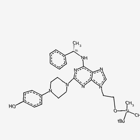 C[C@H](Nc1nc(N2CCN(c3ccc(O)cc3)CC2)nc2c1ncn2CCO[Si](C)(C)C(C)(C)C)c1ccccc1